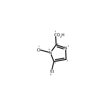 CCc1cnc(C(=O)O)n1Cl